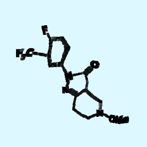 CON1CCC2=NN(c3ccc(F)c(C(F)(F)F)c3)C(=O)C2C1